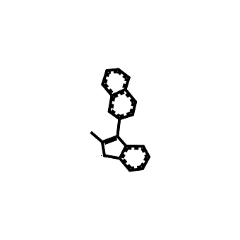 CC1=C(c2ccc3ccccc3c2)c2ccccc2[CH]1